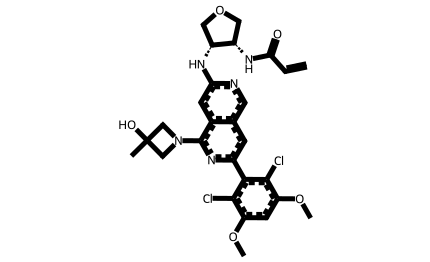 C=CC(=O)N[C@H]1COC[C@H]1Nc1cc2c(N3CC(C)(O)C3)nc(-c3c(Cl)c(OC)cc(OC)c3Cl)cc2cn1